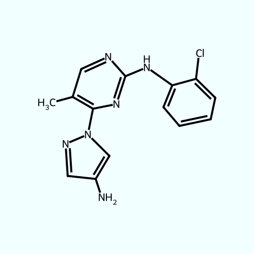 Cc1cnc(Nc2ccccc2Cl)nc1-n1cc(N)cn1